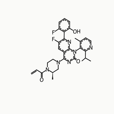 C=CC(=O)N1CCN(c2nc(=O)n(-c3c(C)ccnc3C(C)C)c3nc(-c4c(O)cccc4F)c(F)cc23)C[C@H]1C